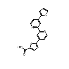 O=C(O)c1ccc(-c2ccnc(-c3cc(-c4cccs4)ccn3)c2)s1